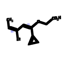 C/C=C(\C=C(\OCC(=O)O)C1=CC1)CC